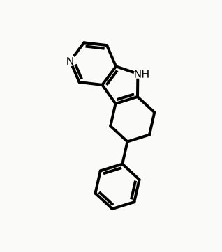 c1ccc(C2CCc3[nH]c4ccncc4c3C2)cc1